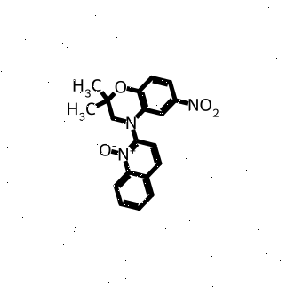 CC1(C)CN(c2ccc3ccccc3[n+]2[O-])c2cc([N+](=O)[O-])ccc2O1